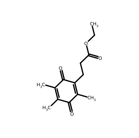 CCOC(=O)CCC1=C(C)C(=O)C(C)=C(C)C1=O